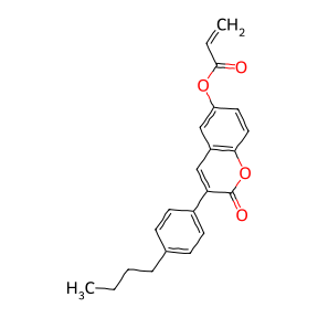 C=CC(=O)Oc1ccc2oc(=O)c(-c3ccc(CCCC)cc3)cc2c1